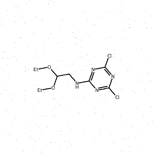 CCOC(CNc1nc(Cl)nc(Cl)n1)OCC